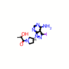 C[C@@H](O)C(=O)N1CC[C@@H](n2nc(I)c3c(N)ncnc32)C1